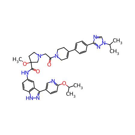 COC1(C(=O)Nc2ccc3[nH]nc(-c4ccc(OC(C)C)nc4)c3c2)CCN(CC(=O)N2CC=C(c3ccc(-c4ncn(C(C)C)n4)cc3)CC2)C1